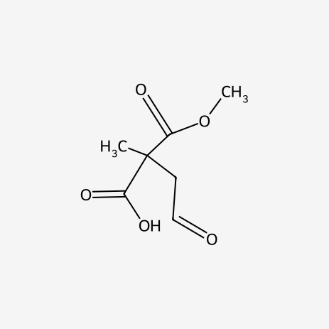 COC(=O)C(C)(CC=O)C(=O)O